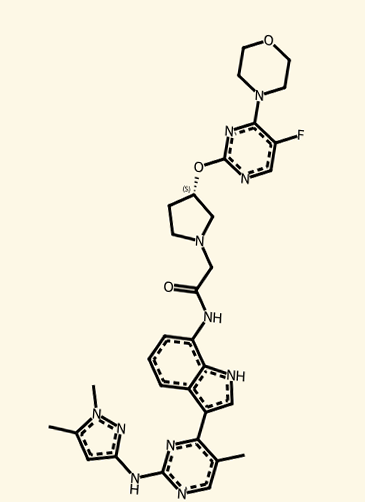 Cc1cnc(Nc2cc(C)n(C)n2)nc1-c1c[nH]c2c(NC(=O)CN3CC[C@H](Oc4ncc(F)c(N5CCOCC5)n4)C3)cccc12